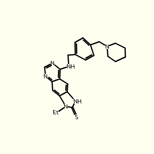 CCn1c(=S)[nH]c2cc3c(NCc4ccc(CN5CCCCC5)cc4)ncnc3cc21